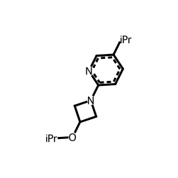 CC(C)OC1CN(c2ccc(C(C)C)cn2)C1